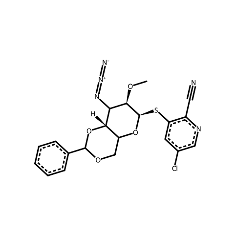 CO[C@@H]1C(N=[N+]=[N-])[C@H]2OC(c3ccccc3)OCC2O[C@@H]1Sc1cc(Cl)cnc1C#N